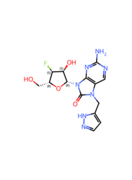 Nc1ncc2c(n1)n([C@@H]1O[C@H](CO)[C@@H](F)[C@H]1O)c(=O)n2Cc1ccn[nH]1